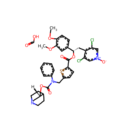 COc1ccc([C@H](Cc2c(Cl)c[n+]([O-])cc2Cl)OC(=O)c2ccc(CN(C(=O)O[C@H]3CN4CCC3CC4)c3ccccc3)s2)cc1OC.O=CO